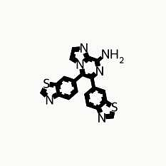 Nc1nc(-c2ccc3ncsc3c2)c(-c2ccc3ncsc3c2)n2ccnc12